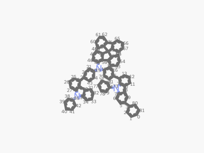 c1ccc(-c2ccc3c(c2)c2cccc(-c4ccc(N(c5ccc(-c6cccc7c6c6ccccc6n7-c6ccccc6)cc5)c5cccc6c5-c5ccccc5C65c6ccccc6-c6ccccc65)cc4)c2n3-c2ccccc2)cc1